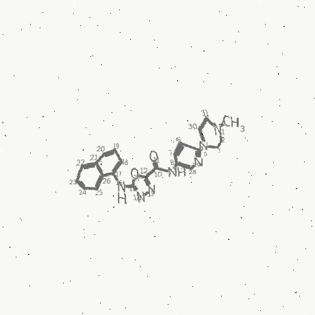 CN1CCN(c2ccc(NC(=O)c3nnc(Nc4cccc5ccccc45)o3)cn2)CC1